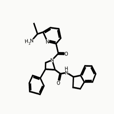 CC(N)c1cccc(C(=O)N2CC(c3ccccc3)C2C(=O)NC2CCc3ccccc32)n1